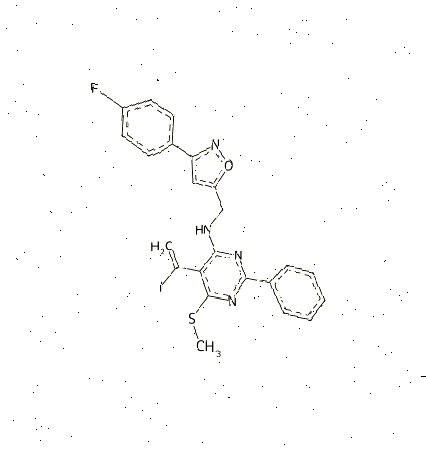 C=C(I)c1c(NCc2cc(-c3ccc(F)cc3)no2)nc(-c2ccccc2)nc1SC